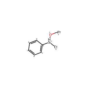 CC[SiH](OC(C)C)c1ccccc1